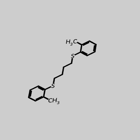 Cc1ccccc1SCCCCSc1ccccc1C